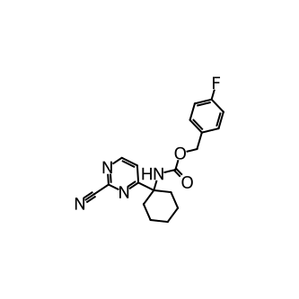 N#Cc1nccc(C2(NC(=O)OCc3ccc(F)cc3)CCCCC2)n1